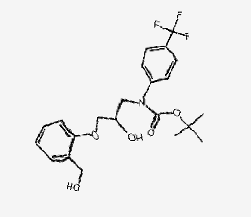 CC(C)(C)OC(=O)N(CC(O)COc1ccccc1CO)c1ccc(C(F)(F)F)cc1